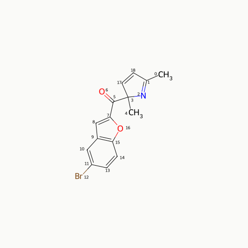 CC1=NC(C)(C(=O)c2cc3cc(Br)ccc3o2)C=C1